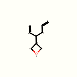 C=CC[C](C=C)C1COC1